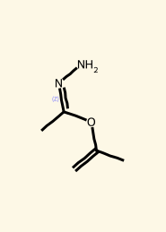 C=C(C)O/C(C)=N\N